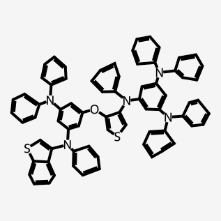 c1ccc(N(c2ccccc2)c2cc(N(c3ccccc3)c3ccccc3)cc(N(c3ccccc3)c3cscc3Oc3cc(N(c4ccccc4)c4ccccc4)cc(N(c4ccccc4)c4csc5ccccc45)c3)c2)cc1